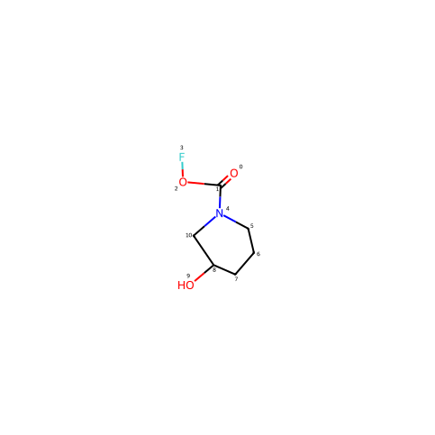 O=C(OF)N1CCCC(O)C1